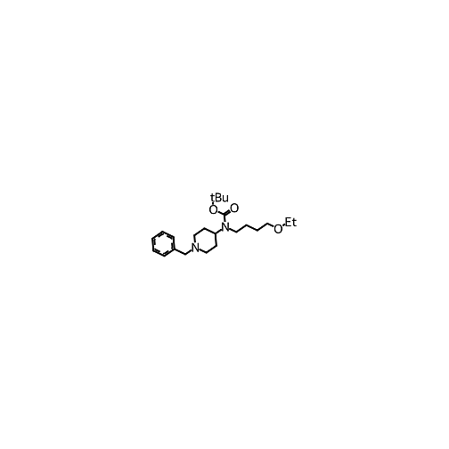 CCOCCCCN(C(=O)OC(C)(C)C)C1CCN(Cc2ccccc2)CC1